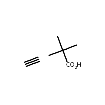 C#C.CC(C)(C)C(=O)O